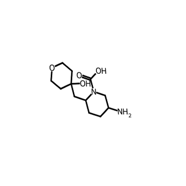 NC1CCC(CC2(O)CCOCC2)N(C(=O)O)C1